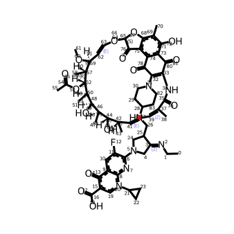 CC/N=C1\CN(c2nc3c(cc2F)c(=O)c(C(=O)O)cn3C2CC2)CC1CNC1CCN(C2=C3NC(=O)/C(C)=C\C=C\[C@H](C)[C@H](O)[C@@H](C)[C@@H](O)[C@@H](C)[C@H](OC(C)=O)[C@H](C)[C@@H](OC)/C=C/O[C@@]4(C)Oc5c(C)c(O)c(c(c5C4=O)C2=O)C3=O)CC1